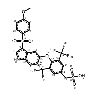 COc1ccc(S(=O)(=O)c2c[nH]c3ccc(Oc4c(C(F)(F)F)cc(CS(=O)(=O)O)cc4C(F)(F)F)cc23)cc1